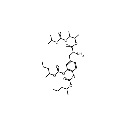 CCCC(C)OC(=O)Oc1cc(C[C@H](N)C(=O)OC(C)C(C)OC(=O)OC(C)C)ccc1OC(=O)O[C@@H](C)CCC